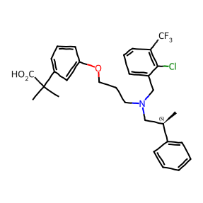 C[C@H](CN(CCCOc1cccc(C(C)(C)C(=O)O)c1)Cc1cccc(C(F)(F)F)c1Cl)c1ccccc1